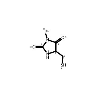 CC(C)N1C(=O)NC(CS)C1=O